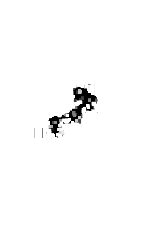 CC(C)c1onc(-c2c(Cl)cccc2Cl)c1COc1ccc(OCc2cccc(C(=O)O)c2)c(Cl)c1